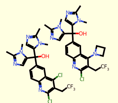 Cc1ncc(C(O)(c2ccc3nc(Cl)c(CC(F)(F)F)c(Cl)c3c2)c2cnc(C)n2C)n1C.Cc1ncc(C(O)(c2ccc3nc(Cl)c(CC(F)(F)F)c(N4CCC4)c3c2)c2cnc(C)n2C)n1C